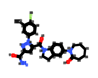 N#Cc1cc(-n2nc(C(N)=O)cc2C(=O)N2CCc3cc(N4CCCCCC4=O)ccc32)ccc1F